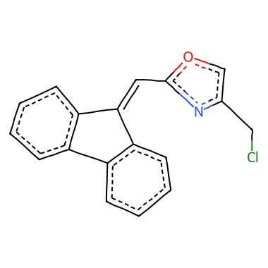 ClCc1coc(C=C2c3ccccc3-c3ccccc32)n1